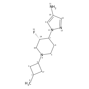 CC1CC(N2CCC(n3cc(N)cn3)[C@@H](F)C2)C1